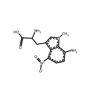 Cn1cc(CC(N)C(=O)O)c2c([N+](=O)[O-])ccc(N)c21